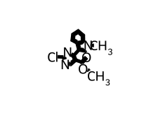 CCOC(=O)c1cnc(Cl)nc1-c1cn(C)c2ccccc12